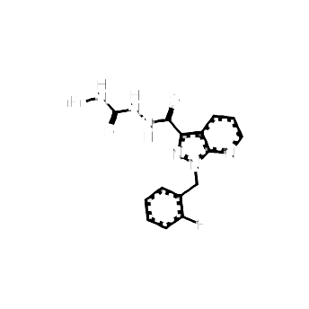 CC(C)NC(=O)NNC(=O)c1nn(Cc2ccccc2F)c2ncccc12